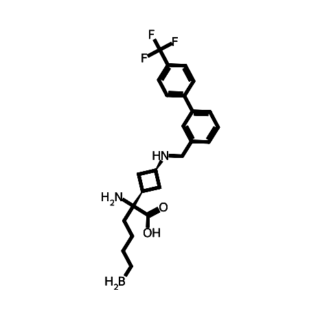 BCCCCC(N)(C(=O)O)[C@H]1C[C@@H](NCc2cccc(-c3ccc(C(F)(F)F)cc3)c2)C1